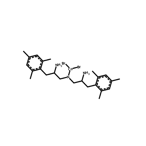 Cc1cc(C)c(CC(N)C[N](CC(N)Cc2c(C)cc(C)cc2C)[Co]([Br])[Br])c(C)c1